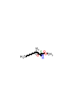 CCCCCCCCCC(C)(C)CC(=O)c1c[nH]c(C(=O)OCC)c1F